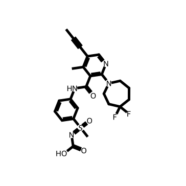 CC#Cc1cnc(N2CCCC(F)(F)CC2)c(C(=O)Nc2cccc(S(C)(=O)=NC(=O)O)c2)c1C